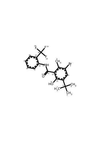 Cc1c(Br)cc(C(C)(C)C)c(O)c1C(=O)Nc1ccccc1C(F)(F)F